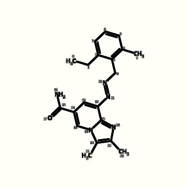 CCc1cccc(C)c1CN=Nc1cc(C(N)=O)cn2c(C)c(C)nc12